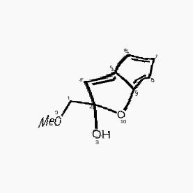 COCC1(O)C=C2C=CC=C2O1